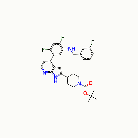 CC(C)(C)OC(=O)N1CCC(c2cc3c(-c4cc(NCc5cccc(F)c5)c(F)cc4F)ccnc3[nH]2)CC1